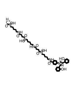 CC(=O)N(O)CCCCCNC(=O)CCC(=O)N(O)CCCCCNC(=O)CCC(=O)N(O)CCCCCNC(=O)c1ccc(-n2nc(-c3ccccc3O)nc2-c2ccccc2O)cc1